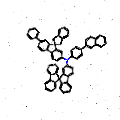 c1ccc(-c2ccc3c(c2)C2(Cc4ccccc4C2)c2cc(N(c4ccc(-c5ccc6ccccc6c5)cc4)c4ccc5c(c4)C4(c6ccccc6-c6ccccc64)c4ccccc4-5)ccc2-3)cc1